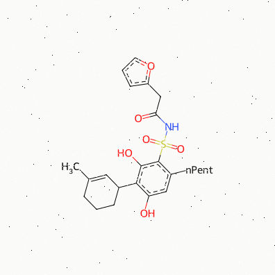 CCCCCc1cc(O)c(C2C=C(C)CCC2)c(O)c1S(=O)(=O)NC(=O)Cc1ccco1